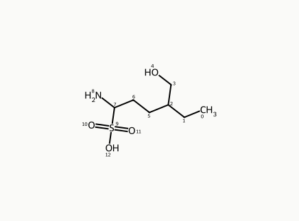 CCC(CO)CCC(N)S(=O)(=O)O